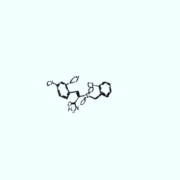 NC(=O)/C(=C\c1ccc(Cl)cc1Cl)S(=O)(=O)Cc1ccccc1Cl